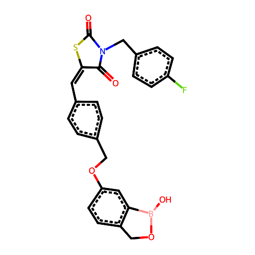 O=C1SC(=Cc2ccc(COc3ccc4c(c3)B(O)OC4)cc2)C(=O)N1Cc1ccc(F)cc1